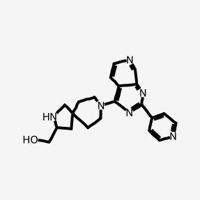 OCC1CC2(CCN(c3nc(-c4ccncc4)nc4cnccc34)CC2)CN1